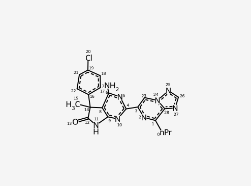 CCCc1nc(-c2nc(N)c3c(n2)NC(=O)C3(C)c2ccc(Cl)cc2)cn2ncnc12